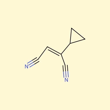 N#CC=C(C#N)C1CC1